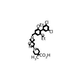 CCOc1cc(CN2CC3(CC(N4CCC(C)(C(=O)O)CC4)=NO3)C2)cc(OCC)c1-c1cc(Cl)cc(Cl)c1